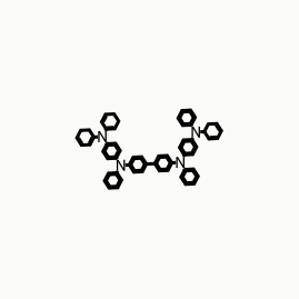 C1=CCCC(N(C2=CCCC=C2)c2ccc(N(c3ccccc3)c3ccc(-c4ccc(N(c5ccccc5)c5ccc(N(c6ccccc6)C6C=CC=CC6)cc5)cc4)cc3)cc2)=C1